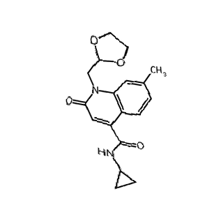 Cc1ccc2c(C(=O)NC3CC3)cc(=O)n(CC3OCCO3)c2c1